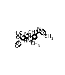 Cc1nc(N[C@H](C)c2ccc(-c3cnn4c3CN(C)CC4)cc2)c2cc(N3CCOCC3)c(=O)n(C)c2n1